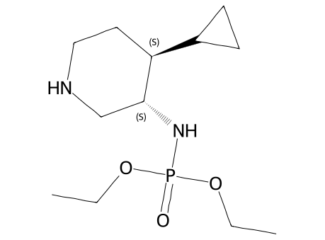 CCOP(=O)(N[C@@H]1CNCC[C@H]1C1CC1)OCC